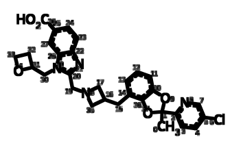 CC1(c2ccc(Cl)cn2)Oc2cccc(CC3CN(Cc4nc5ccc(C(=O)O)cc5n4CC4CCO4)C3)c2O1